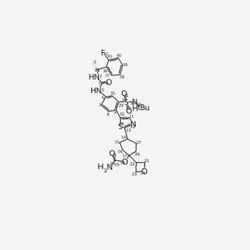 C[C@@H](NC(=O)Nc1ccc(-c2cnc(C3CCC(OC(N)=O)(C4COC4)CC3)s2)c(S(=O)(=O)NC(C)(C)C)c1)c1ccccc1F